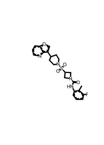 Cc1c(F)cccc1NC(=O)N1CC(S(=O)(=O)N2CCC(c3coc4cccnc34)CC2)C1